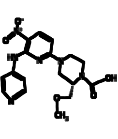 COC[C@@H]1CN(c2ccc([N+](=O)[O-])c(Nc3ccncc3)n2)CCN1C(=O)O